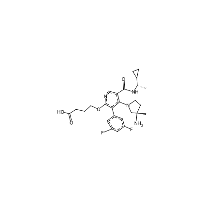 C[C@H](NC(=O)c1cnc(OCCCC(=O)O)c(-c2cc(F)cc(F)c2)c1N1CC[C@](C)(N)C1)C1CC1